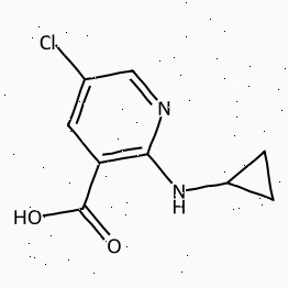 O=C(O)c1cc(Cl)cnc1NC1CC1